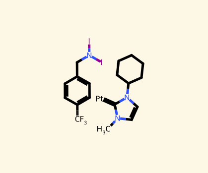 Cn1ccn(C2CCCCC2)[c]1=[Pt].FC(F)(F)c1ccc(CN(I)I)cc1